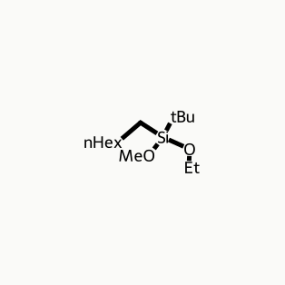 CCCCCCC[Si](OC)(OCC)C(C)(C)C